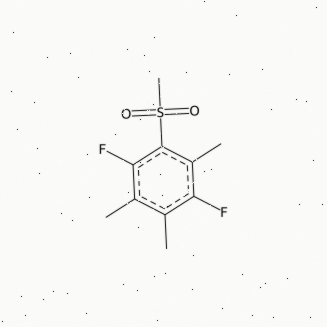 Cc1c(C)c(F)c(S(C)(=O)=O)c(C)c1F